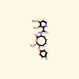 COc1ccnc(C(=O)N[C@H]2CCCC[C@@H](Oc3ccc(F)cc3)[C@H](C)OC2=O)c1OC(C)=O